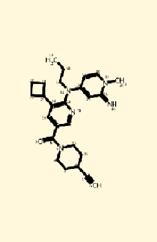 C#CC1CCN(C(=O)c2cnc(N(CCC)c3ccn(C)c(=N)c3)c(C3CCC3)c2)CC1